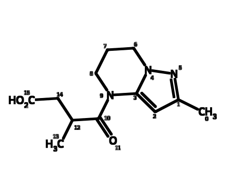 Cc1cc2n(n1)CCCN2C(=O)C(C)CC(=O)O